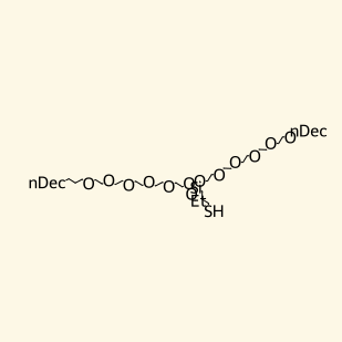 CCCCCCCCCCCCCOCCOCCOCCOCCOCCO[Si](CCCS)(OCC)OCCOCCOCCOCCOCCOCCCCCCCCCC